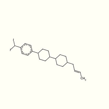 CC=CCC1CCC(C2CCC(c3ccc(C(I)I)cc3)CC2)CC1